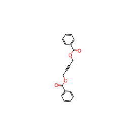 O=C(OCC#CCOC(=O)c1ccccc1)c1ccccc1